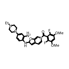 CCN1CCN(c2ccc(NC3C=C4C=CN(C(=O)c5c(F)c(OC)cc(OC)c5F)C=C4O3)c(N)c2)CC1